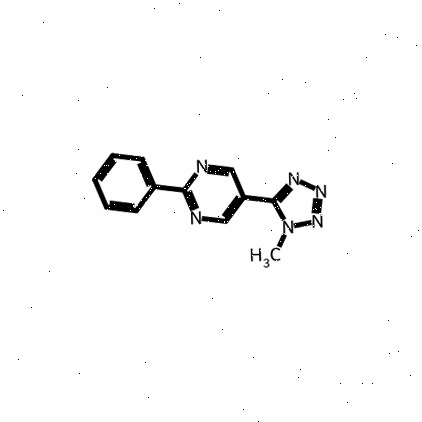 Cn1nnnc1-c1cnc(-c2ccccc2)nc1